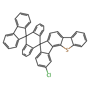 Clc1ccc2c(c1)-c1c(ccc3c1sc1ccccc13)C21c2ccccc2C2(c3ccccc3-c3ccccc32)c2ccccc21